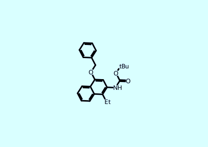 CCc1c(NC(=O)OC(C)(C)C)cc(OCc2ccccc2)c2ccccc12